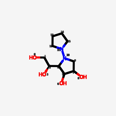 OC[C@H](O)C1C(O)C(O)CN1N1CCCC1